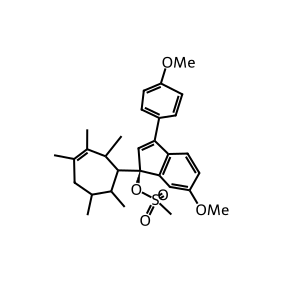 COc1ccc(C2=C[C@@](OS(C)(=O)=O)(C3C(C)C(C)=C(C)CC(C)C3C)c3cc(OC)ccc32)cc1